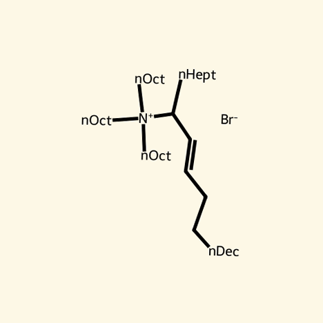 CCCCCCCCCCCCC=CC(CCCCCCC)[N+](CCCCCCCC)(CCCCCCCC)CCCCCCCC.[Br-]